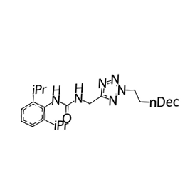 CCCCCCCCCCCCn1nnc(CNC(=O)Nc2c(C(C)C)cccc2C(C)C)n1